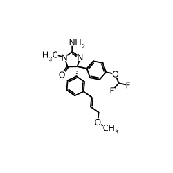 COCC=Cc1cccc([C@@]2(c3ccc(OC(F)F)cc3)N=C(N)N(C)C2=O)c1